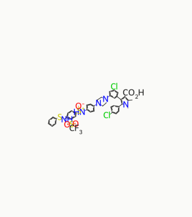 Cc1c(C(=O)O)c(-c2cc(Cl)cc(N3CCN(c4ccc(N[S+]([O-])c5ccc(NSc6ccccc6)c(S(=O)(=O)C(F)(F)F)c5)cc4)CC3)c2)c(-c2ccc(Cl)cc2)n1C